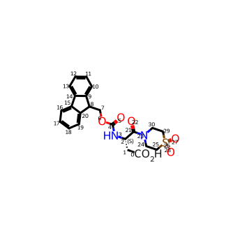 O=C(O)C[C@H](NC(=O)OCC1c2ccccc2-c2ccccc21)C(=O)N1CCS(=O)(=O)CC1